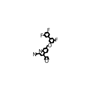 N#Cc1cc(-c2ccoc2)c2ccc(COc3cc(F)cc(-c4cc(F)cc(F)c4)c3)cc2n1